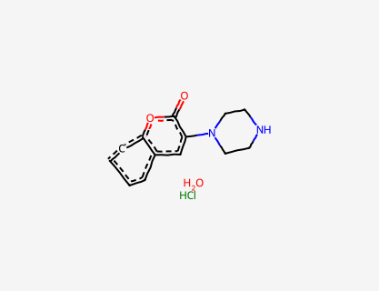 Cl.O.O=c1oc2ccccc2cc1N1CCNCC1